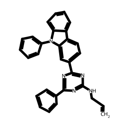 C=CCNc1nc(-c2ccccc2)nc(-c2ccc3c4ccccc4n(-c4ccccc4)c3c2)n1